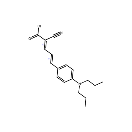 CCCN(CCC)c1ccc(/C=C/C=C(\C#N)C(=O)O)cc1